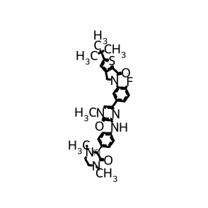 CN1CCN(C)[C@@H](c2ccc(Nc3nc(-c4ccc(F)c(N5Cc6cc(C(C)(C)C)sc6C5=O)c4)cn(C)c3=O)cc2)C1=O